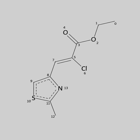 CCOC(=O)C(Cl)=Cc1csc(C)n1